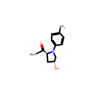 COC(=O)[C@@H]1C[C@@H](O)CN1c1ccc([N+](=O)[O-])cc1